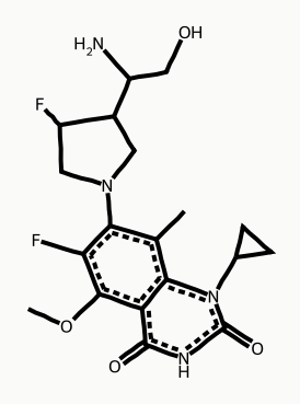 COc1c(F)c(N2CC(F)C(C(N)CO)C2)c(C)c2c1c(=O)[nH]c(=O)n2C1CC1